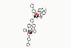 C=C/C=C\C1=C(C)C2(c3ccccc3O1)c1ccccc1-c1cccc(-c3nc(-c4ccc(-c5ccccc5)cc4)nc(-c4cccc(-c5ccc6c(c5)C5(c7ccccc7Oc7ccccc75)c5c(-c7nc(-c8ccccc8)cc(-c8ccc(-c9ccccc9)cc8)n7)cccc5-6)c4)n3)c12